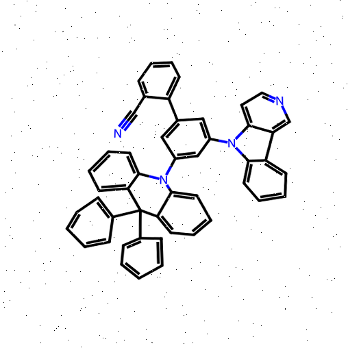 N#Cc1ccccc1-c1cc(N2c3ccccc3C(c3ccccc3)(c3ccccc3)c3ccccc32)cc(-n2c3ccccc3c3cnccc32)c1